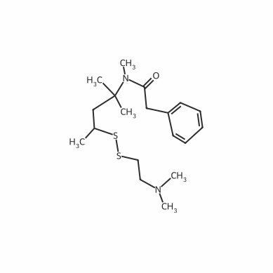 CC(CC(C)(C)N(C)C(=O)Cc1ccccc1)SSCCN(C)C